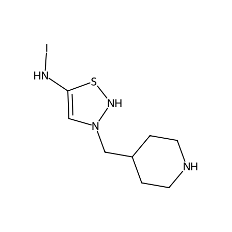 INC1=CN(CC2CCNCC2)NS1